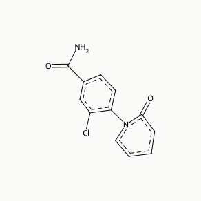 NC(=O)c1ccc(-n2ccccc2=O)c(Cl)c1